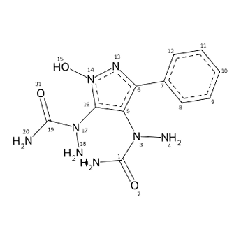 NC(=O)N(N)c1c(-c2ccccc2)nn(O)c1N(N)C(N)=O